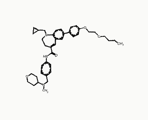 CCCCOCCOc1ccc(-c2ccc3c(c2)C=C(C(=O)Nc2ccc(CN(C)C4CCOCC4)cc2)CCN3CC2CC2)cc1